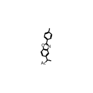 CC(=O)C(C)c1ccc2oc(-c3ccc(C)cc3)nc2c1